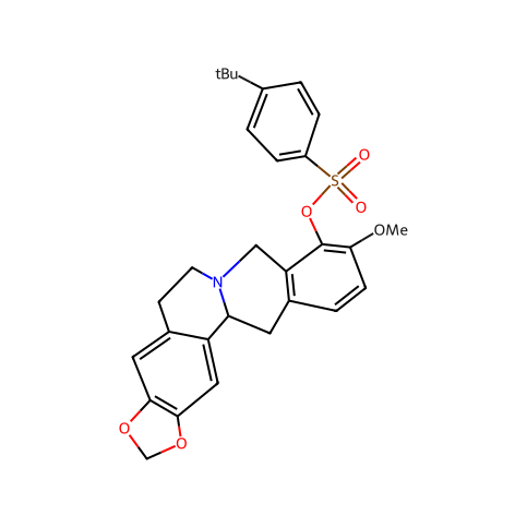 COc1ccc2c(c1OS(=O)(=O)c1ccc(C(C)(C)C)cc1)CN1CCc3cc4c(cc3C1C2)OCO4